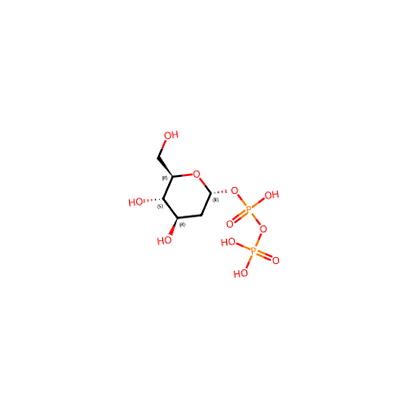 O=P(O)(O)OP(=O)(O)O[C@@H]1C[C@@H](O)[C@H](O)[C@@H](CO)O1